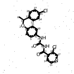 CC(Oc1ccc(NC(=O)NC(=O)c2ccncc2Cl)cc1)c1ccc(Cl)cc1